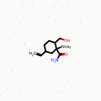 C=CC1CCC(CO)C(NC(C)=O)(C(N)=O)C1